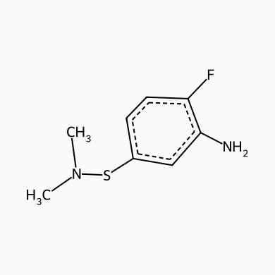 CN(C)Sc1ccc(F)c(N)c1